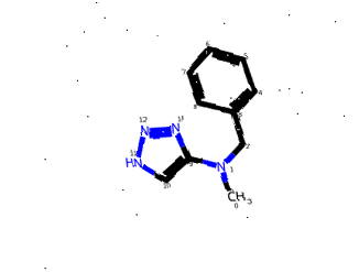 CN(Cc1ccccc1)c1c[nH]nn1